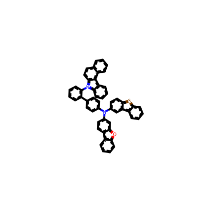 c1ccc(-n2c3ccccc3c3c4ccccc4ccc32)c(-c2ccc(N(c3ccc4c(c3)oc3ccccc34)c3ccc4sc5ccccc5c4c3)cc2)c1